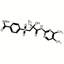 CNC(=O)c1ccc(S(=O)(=O)C[C@](C)(O)C(=O)Nc2ncc(C)c(C)n2)cc1